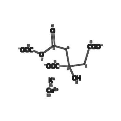 O=C([O-])CC(O)(CC(=O)OC(=O)[O-])C(=O)[O-].[Ca+2].[K+]